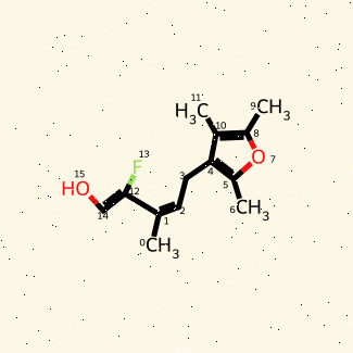 CC(=CCc1c(C)oc(C)c1C)C(F)=CO